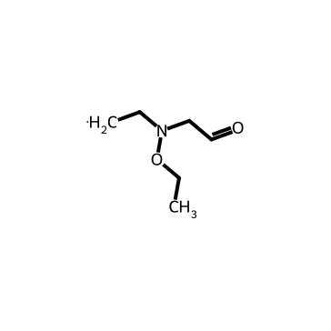 [CH2]CN(CC=O)OCC